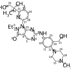 CCn1c(=O)c2cnc(Nc3ccc(N4CCN(C)CC4)c(CO)c3)nc2n1-c1cccc(C(C)(C)CO)n1